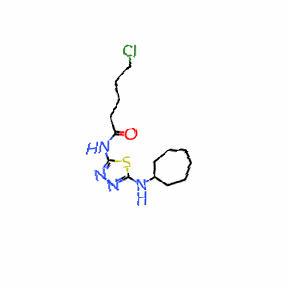 O=C(CCCCCl)Nc1nnc(NC2CCCCCC2)s1